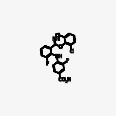 N=C(Oc1c(Cl)cccc1Cl)c1cccc(F)c1Nc1ccc(C(=O)O)cc1F